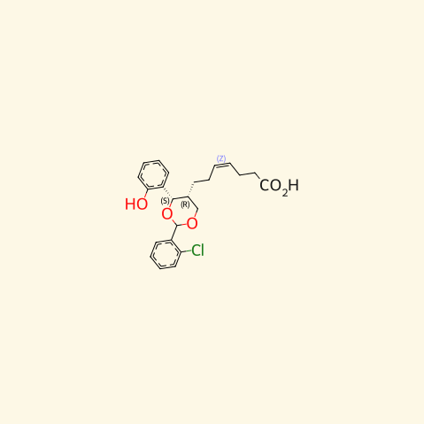 O=C(O)CC/C=C\CC[C@@H]1COC(c2ccccc2Cl)O[C@@H]1c1ccccc1O